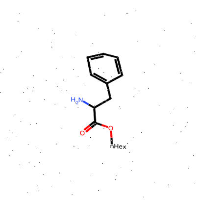 CCCCCCOC(=O)C(N)Cc1ccccc1